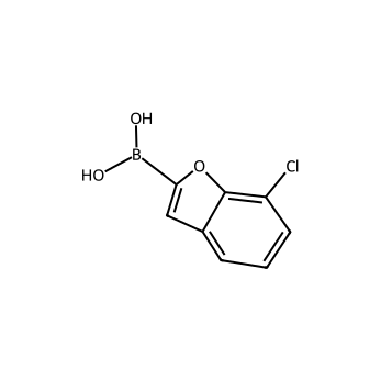 OB(O)c1cc2cccc(Cl)c2o1